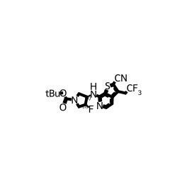 CC(C)(C)OC(=O)N1C[C@H](F)[C@H](Nc2nccc3c(CC(F)(F)F)c(C#N)sc23)C1